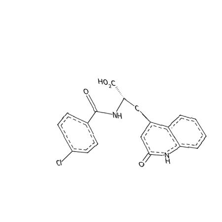 O=C(N[C@@H](Cc1cc(=O)[nH]c2ccccc12)C(=O)O)c1ccc(Cl)cc1